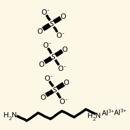 NCCCCCCN.O=S(=O)([O-])[O-].O=S(=O)([O-])[O-].O=S(=O)([O-])[O-].[Al+3].[Al+3]